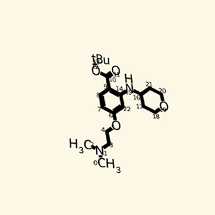 CN(C)CCOc1ccc(C(=O)OC(C)(C)C)c(NC2CCOCC2)c1